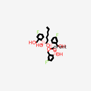 C=CCCCCC(OB(c1ccc(F)cc1CO)C1(CCCCC)OCc2cc(F)ccc2B(O)O1)B(O)c1ccc(F)cc1CO